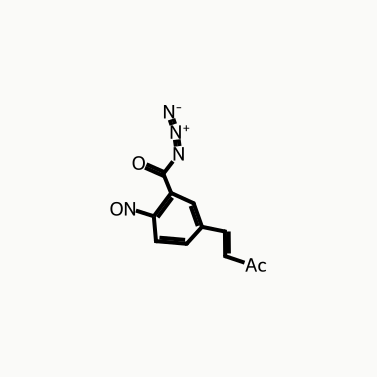 CC(=O)/C=C/c1ccc(N=O)c(C(=O)N=[N+]=[N-])c1